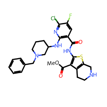 COC(=O)c1c(NC(=O)c2cc(F)c(Cl)nc2NC2CCCN(Cc3ccccc3)C2)sc2c1CCNC2